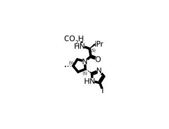 CC(C)[C@H](NC(=O)O)C(=O)N1C[C@@H](C)C[C@H]1c1ncc(I)[nH]1